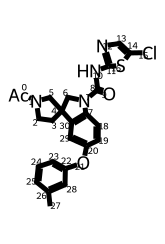 CC(=O)N1CCC2(C1)CN(C(=O)Nc1ncc(Cl)s1)c1ccc(Oc3cccc(C)c3)cc12